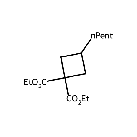 CCCCCC1CC(C(=O)OCC)(C(=O)OCC)C1